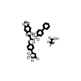 O=C(O)C(F)(F)F.O=C1CC(c2ccc(C[C@H](NS(=O)(=O)c3ccc(-c4ccccc4)cc3)c3nc4cc5nonc5cc4[nH]3)cc2)S(=O)(=O)N1